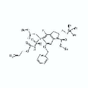 C=CCOC(=O)NS(=O)(=O)N(CC(=O)OC(C)(C)C)c1c(OCc2ccccc2)cc2c(c1F)C[C@H](CO[Si](C(C)C)(C(C)C)C(C)C)N2C(=O)OC(C)(C)C